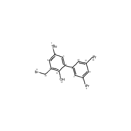 CC(C)c1cc(-c2cc(C(C)(C)C)cc(CBr)c2O)cc(C(C)C)c1